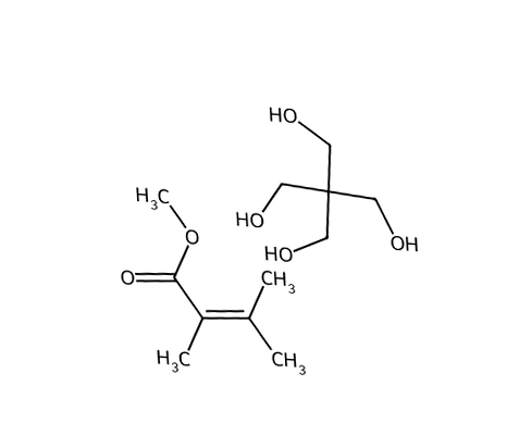 COC(=O)C(C)=C(C)C.OCC(CO)(CO)CO